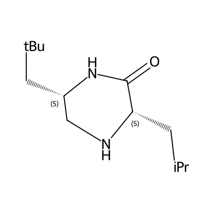 CC(C)C[C@@H]1NC[C@H](CC(C)(C)C)NC1=O